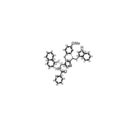 COc1ccc(Cn2c(CCc3c[nH]c4ccccc34)nnc2[C@@H](Cc2cccc3ccccc23)NC(=O)c2ccccn2)cc1